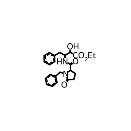 CCOC(=O)C(O)C(Cc1ccccc1)NC(=O)C1CCC(=O)N1Cc1ccccc1